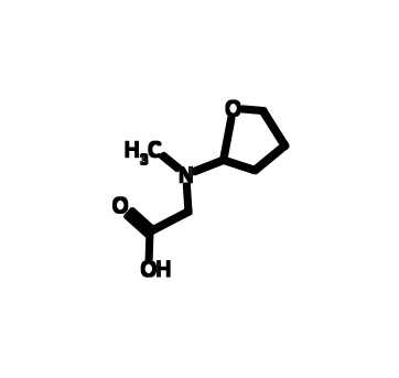 CN(CC(=O)O)C1CCCO1